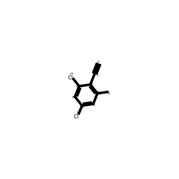 C#Cc1c([CH2])cc(Cl)cc1Cl